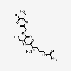 N=C(N)NCCC[C@H](N)C(=O)N[C@@H](CO)C(=O)NCC(=O)N[C@@H](CO)C(=O)O